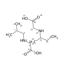 CC(C)CNCC(=O)O.CCC(C)NCC(=O)O